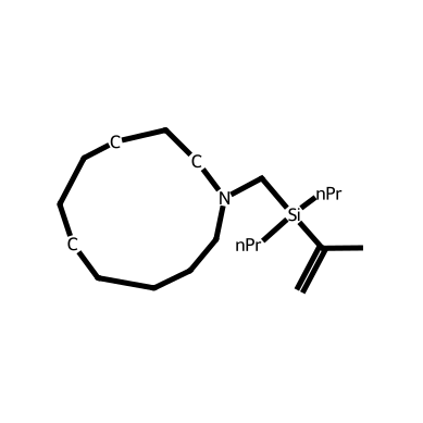 C=C(C)[Si](CCC)(CCC)CN1CCCCCCCCCC1